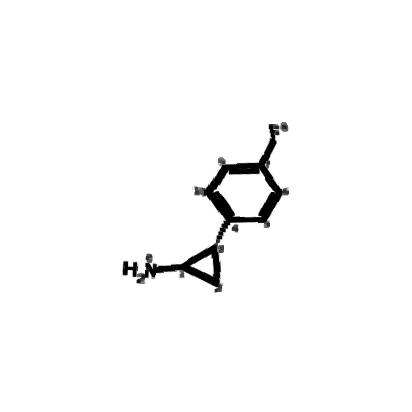 NC1C[C@H]1c1ccc(F)cc1